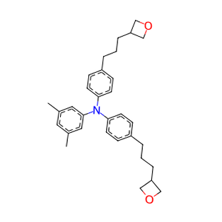 Cc1cc(C)cc(N(c2ccc(CCCC3COC3)cc2)c2ccc(CCCC3COC3)cc2)c1